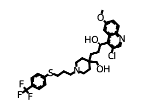 COc1ccc2ncc(Cl)c([C@H](O)CCC3(CO)CCN(CCCSc4ccc(C(F)(F)F)cc4)CC3)c2c1